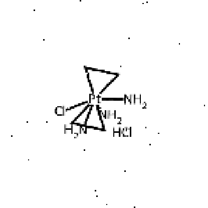 Cl.[NH2][Pt]12([NH2])([NH2])([Cl])([CH2][CH2]1)[CH2][CH2]2